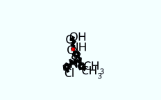 Cc1ccc(N(Cc2ccc(C(=O)NCCC(=O)O)cc2)c2nc(-c3cccc(Cl)c3)cs2)cc1C